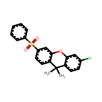 CC1(C)c2ccc(Cl)cc2Oc2cc(S(=O)(=O)c3ccccc3)ccc21